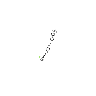 N#CC(F)=CC=CCC[C@H]1CC[C@H](CCCC[C@H]2CC[C@H](c3ccc(C(F)(F)F)cc3)CC2)CC1